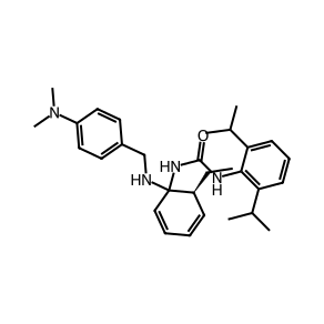 CC[C@H]1C=CC=CC1(NCc1ccc(N(C)C)cc1)NC(=O)Nc1c(C(C)C)cccc1C(C)C